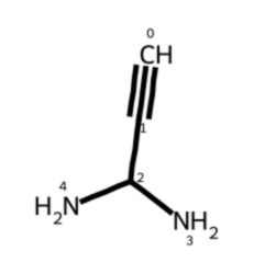 C#CC(N)N